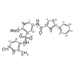 COc1ncc(NC(=O)c2csc(-c3ccccc3)n2)cc1S(=O)(=O)Nc1ccc(Cl)nc1C